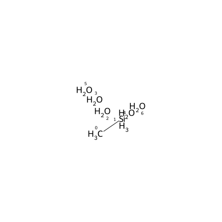 C[SiH3].O.O.O.O.O